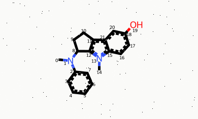 CN(c1ccccc1)C1CCc2c1n(C)c1ccc(O)cc21